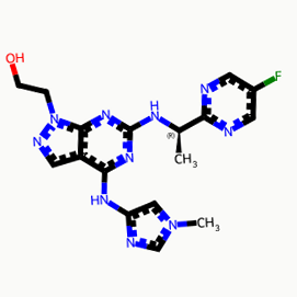 C[C@@H](Nc1nc(Nc2cn(C)cn2)c2cnn(CCO)c2n1)c1ncc(F)cn1